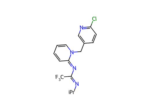 CC(C)/N=C(/N=c1\ccccn1Cc1ccc(Cl)nc1)C(F)(F)F